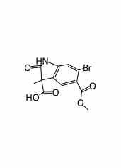 COC(=O)c1cc2c(cc1Br)NC(=O)C2(C)C(=O)O